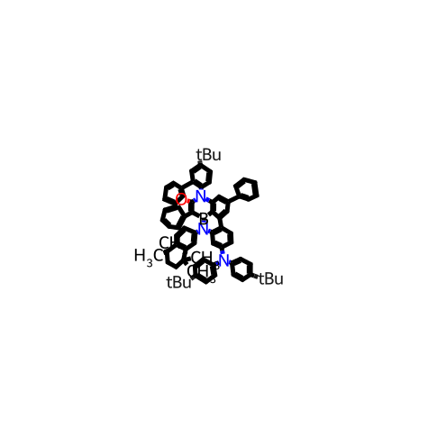 CC(C)(C)c1ccc(N(c2ccc(C(C)(C)C)cc2)c2ccc3c(c2)N(c2ccc4c(c2)C(C)(C)CCC4(C)C)B2c4c-3cc(-c3ccccc3)cc4N(c3ccc(C(C)(C)C)cc3-c3ccccc3)c3oc4ccccc4c32)cc1